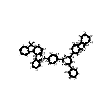 CC1(C)c2ccccc2-c2c1ccc1c2c2ccccc2n1-c1ccc(-c2nc(-c3ccccc3)cc(-c3ccc4c(c3)oc3ccccc34)n2)cc1